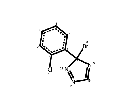 Clc1ccccc1C1(Br)N=[C]N=N1